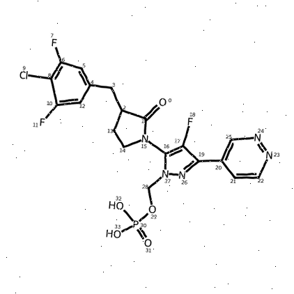 O=C1C(Cc2cc(F)c(Cl)c(F)c2)CCN1c1c(F)c(-c2ccnnc2)nn1COP(=O)(O)O